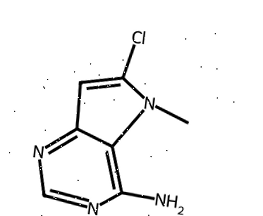 Cn1c(Cl)cc2ncnc(N)c21